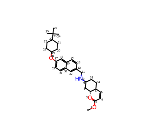 COC(=O)/C=C\C1CCC(NCc2ccc3cc(OC4CCC(C(C)(C)C)CC4)ccc3c2)CC1